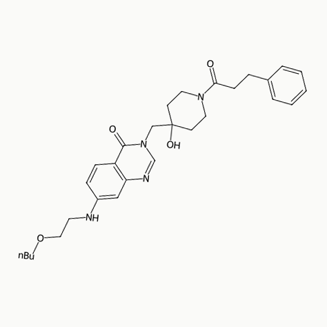 CCCCOCCNc1ccc2c(=O)n(CC3(O)CCN(C(=O)CCc4ccccc4)CC3)cnc2c1